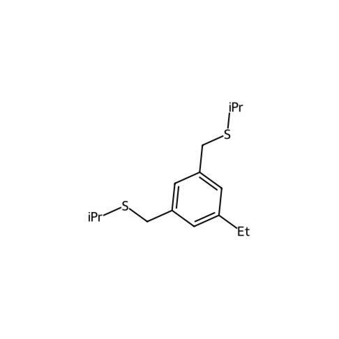 CCc1cc(CSC(C)C)cc(CSC(C)C)c1